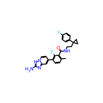 Cc1ccc(-c2ccn3nc(N)nc3c2)c(F)c1C(=O)NCCC1(c2ccc(F)cc2)CC1